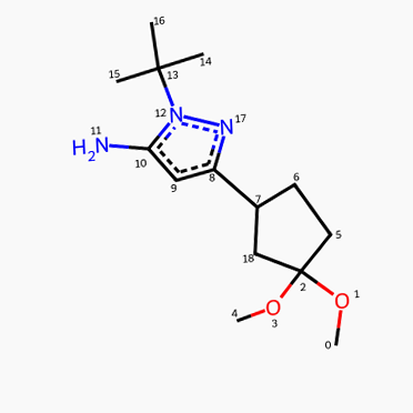 COC1(OC)CCC(c2cc(N)n(C(C)(C)C)n2)C1